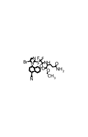 CCOC(=O)C(CCC(N)=O)NC(=O)C(F)(F)Sc1ncc(Br)n1-c1ccc(C#N)c2ccccc12